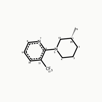 [CH2][C@@H]1CCCN(c2ncccc2C(F)(F)F)C1